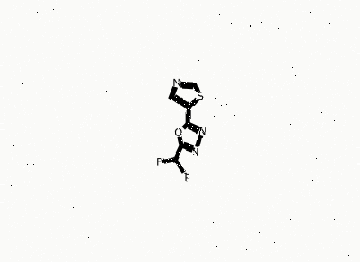 FC(F)c1nnc(-c2cncs2)o1